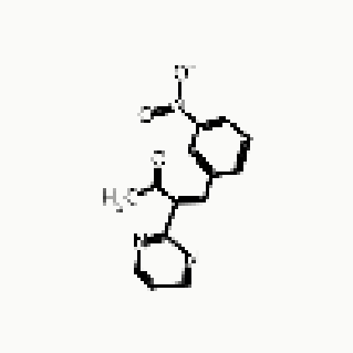 CC(=O)C(=Cc1cccc([N+](=O)[O-])c1)c1ncccn1